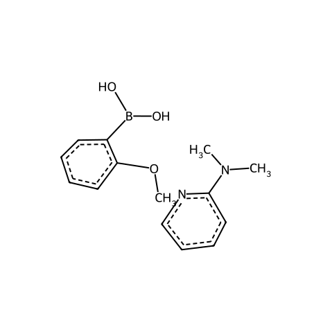 CN(C)c1ccccn1.COc1ccccc1B(O)O